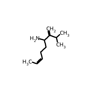 C=C(C(C)C)C(N)CC/C=C\C